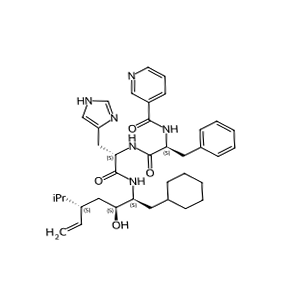 C=C[C@@H](C[C@H](O)[C@H](CC1CCCCC1)NC(=O)[C@H](Cc1c[nH]cn1)NC(=O)[C@H](Cc1ccccc1)NC(=O)c1cccnc1)C(C)C